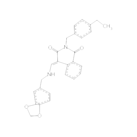 CCc1ccc(CN2C(=O)/C(=C/NCc3ccc4c(c3)OCO4)c3ccccc3C2=O)cc1